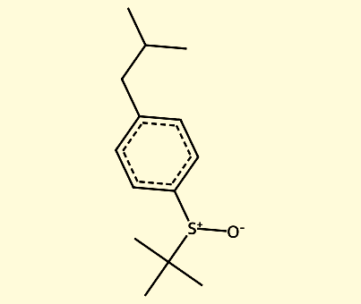 CC(C)Cc1ccc([S+]([O-])C(C)(C)C)cc1